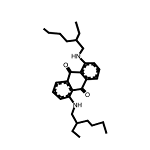 CCCCC(CC)CNc1cccc2c1C(=O)c1cccc(NCC(CC)CCCC)c1C2=O